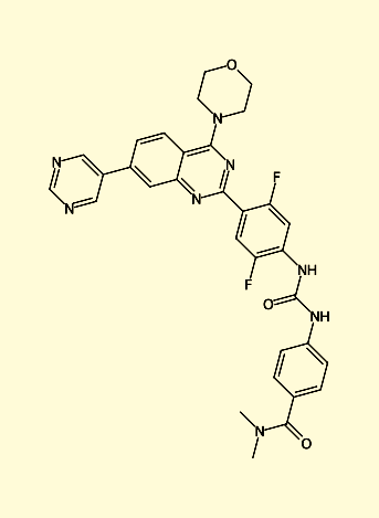 CN(C)C(=O)c1ccc(NC(=O)Nc2cc(F)c(-c3nc(N4CCOCC4)c4ccc(-c5cncnc5)cc4n3)cc2F)cc1